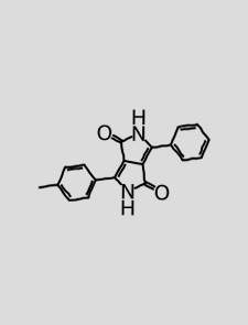 Cc1ccc(C2=C3C(=O)NC(c4ccccc4)=C3C(=O)N2)cc1